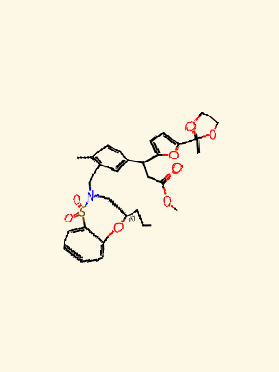 CCC[C@@H]1CN(Cc2cc(C(CC(=O)OC)c3ccc(C4(C)OCCO4)o3)ccc2C)S(=O)(=O)c2ccccc2O1